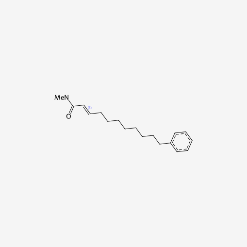 CNC(=O)/C=C/CCCCCCCCc1ccccc1